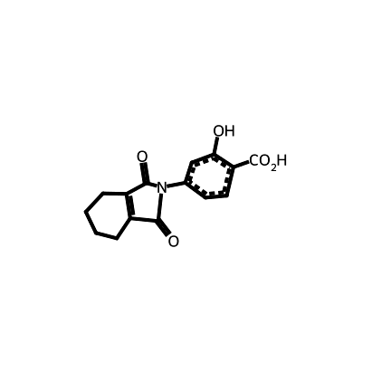 O=C(O)c1ccc(N2C(=O)C3=C(CCCC3)C2=O)cc1O